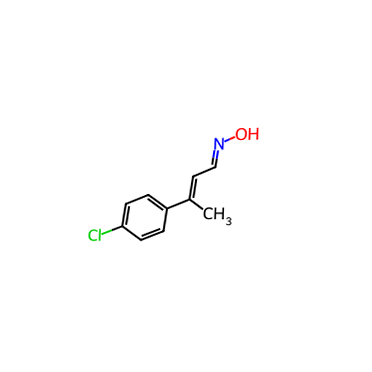 CC(=CC=NO)c1ccc(Cl)cc1